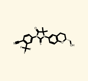 CC1(C)C(=O)N(c2ccc(C#N)c(C(F)(F)F)c2)C(=S)N1c1ccc2c(c1)CC[C@H](CO)O2